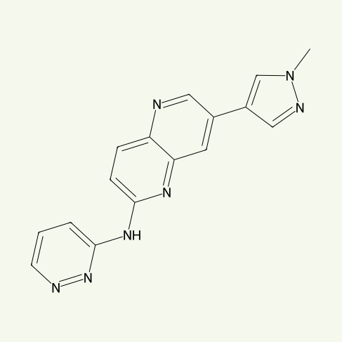 Cn1cc(-c2cnc3ccc(Nc4cccnn4)nc3c2)cn1